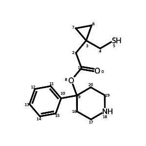 O=C(CC1(CS)CC1)OC1(c2ccccc2)CCNCC1